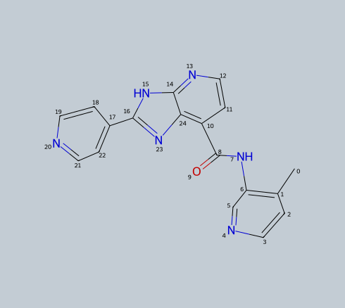 Cc1ccncc1NC(=O)c1ccnc2[nH]c(-c3ccncc3)nc12